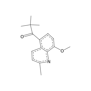 COc1ccc(C(=O)C(C)(C)C)c2ccc(C)nc12